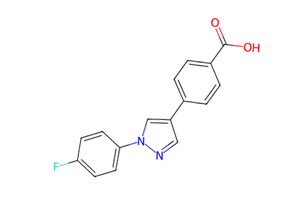 O=C(O)c1ccc(-c2cnn(-c3ccc(F)cc3)c2)cc1